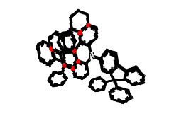 c1ccc(C2(c3ccccc3)c3ccccc3-c3ccc(N(c4ccccc4-c4cccc5cccc(C6CCCCC6)c45)c4cccc5c4-c4ccccc4C5(c4ccccc4)c4ccccc4)cc32)cc1